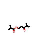 C=C(C)C(=O)CCOC(=O)C(=C)C